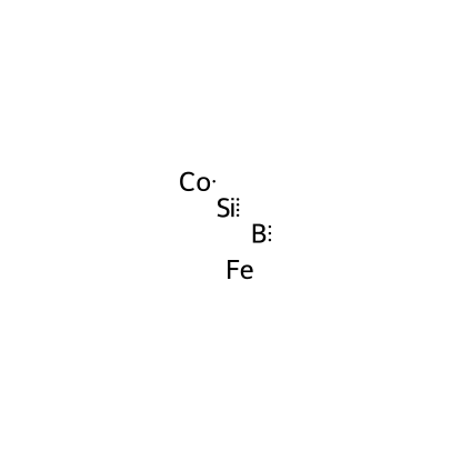 [B].[Co].[Fe].[Si]